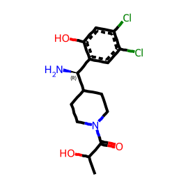 CC(O)C(=O)N1CCC([C@@H](N)c2cc(Cl)c(Cl)cc2O)CC1